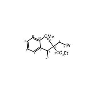 CCOC(=O)C(C)(CC(C)C)C(C)c1ccccc1OC